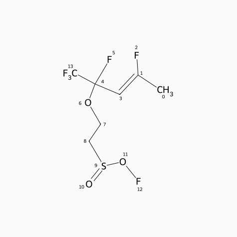 CC(F)=CC(F)(OCCS(=O)OF)C(F)(F)F